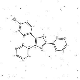 Oc1ccc(-c2[nH]c(-c3ccccc3)nc2-c2ccncc2)cn1